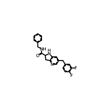 O=C(NCc1ccccc1)C1Cc2ncc(Cc3ccc(F)c(F)c3)cc2N1